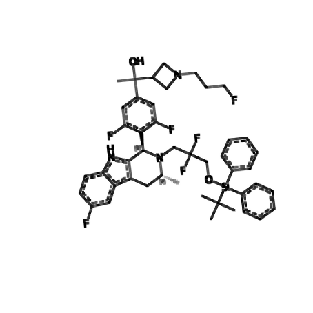 C[C@@H]1Cc2c([nH]c3ccc(F)cc23)[C@@H](c2c(F)cc(C(C)(O)C3CN(CCCF)C3)cc2F)N1CC(F)(F)CO[Si](c1ccccc1)(c1ccccc1)C(C)(C)C